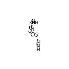 c1cc(-c2ccc(Oc3ccc4c(CCN5CCNCC5)coc4c3)nc2)[nH]n1